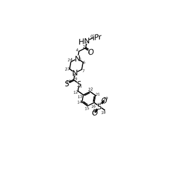 CC(C)NC(=O)CN1CCN(C(=S)SCc2ccc(S(C)(=O)=O)cc2)CC1